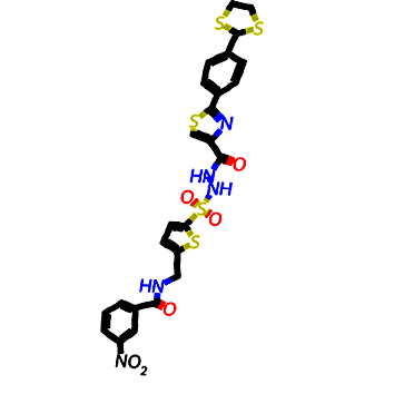 O=C(NCc1ccc(S(=O)(=O)NNC(=O)c2csc(-c3ccc(C4SCCS4)cc3)n2)s1)c1cccc([N+](=O)[O-])c1